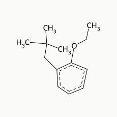 CCOc1ccccc1CC(C)(C)C